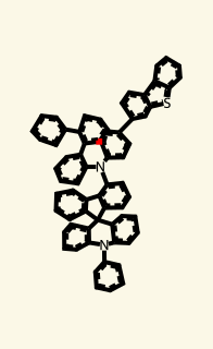 c1ccc(-c2ccccc2-c2ccccc2N(c2ccc(-c3ccc4c(c3)sc3ccccc34)cc2)c2cccc3c2-c2ccccc2C32c3ccccc3N(c3ccccc3)c3ccccc32)cc1